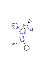 CCn1c(C2CC2)nc2c(N3CCOCC3)nc(-n3cc(-c4ccccc4)c(OC)n3)nc21